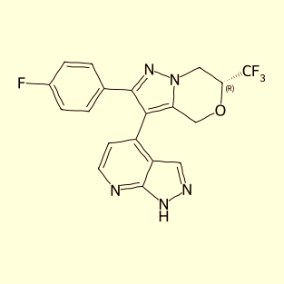 Fc1ccc(-c2nn3c(c2-c2ccnc4[nH]ncc24)CO[C@@H](C(F)(F)F)C3)cc1